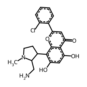 CN1CCC(c2c(O)cc(O)c3c(=O)cc(-c4ccccc4Cl)oc23)C1CN